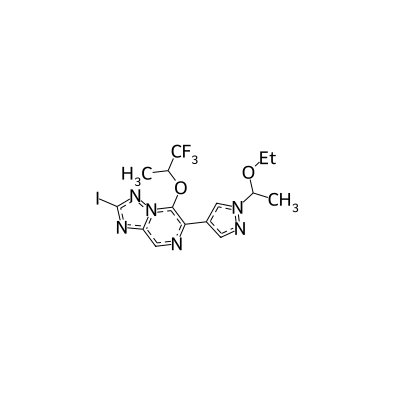 CCOC(C)n1cc(-c2ncc3nc(I)nn3c2OC(C)C(F)(F)F)cn1